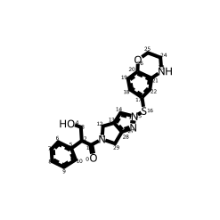 O=C(C(CO)c1ccccc1)N1Cc2cn(Sc3ccc4c(c3)NCCO4)nc2C1